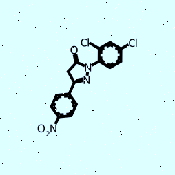 O=C1CC(c2ccc([N+](=O)[O-])cc2)=NN1c1ccc(Cl)cc1Cl